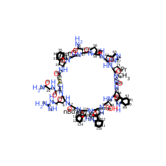 CCCC[C@H]1C(=O)N[C@@H](CCCNC(=N)N)C(=O)N[C@H](C(=O)NCC(N)=O)CSCC(=O)N[C@@H](Cc2ccccc2)C(=O)N(C)[C@@H](C)C(=O)N[C@@H](CC(N)=O)C(=O)N2CCC[C@H]2C(=O)N[C@@H](Cc2cnc[nH]2)C(=O)N[C@@H](CC(C)C)C(=O)N(C)CC(=O)N[C@@H](Cc2c[nH]c3ccccc23)C(=O)N[C@@H](CO)C(=O)N[C@@H](Cc2c[nH]c3ccccc23)C(=O)N(C)[C@@H](Cc2ccccc2)C(=O)N1C